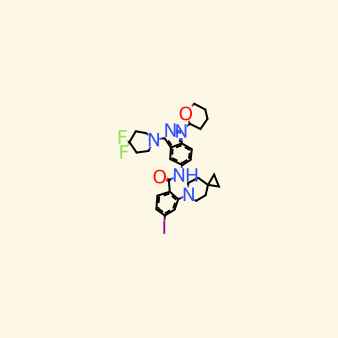 O=C(Nc1ccc2c(c1)c(N1CCC(F)(F)CC1)nn2C1CCCCO1)c1ccc(I)cc1N1CCC2(CC1)CC2